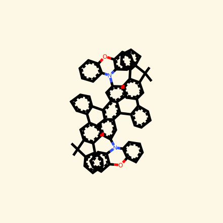 CC1(C)c2ccccc2-c2ccc(-c3ccccc3-c3c4ccc(N5c6ccccc6Oc6ccccc65)cc4c(-c4ccccc4-c4ccc5c(c4)C(C)(C)c4ccccc4-5)c4ccc(N5c6ccccc6Oc6ccccc65)cc34)cc21